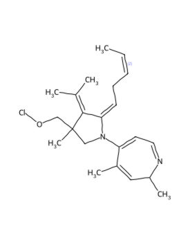 C/C=C\CC=C1C(=C(C)C)C(C)(COCl)CN1C1=CC=NC(C)C=C1C